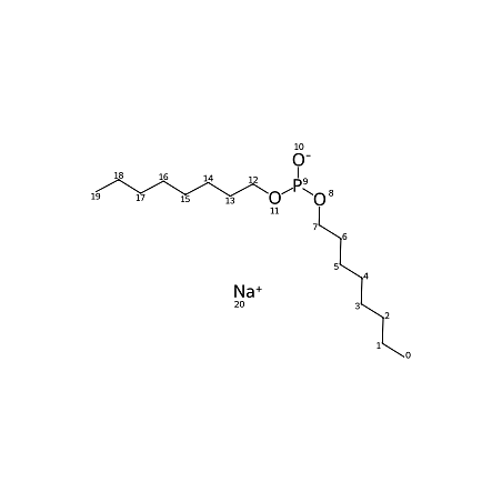 CCCCCCCCOP([O-])OCCCCCCCC.[Na+]